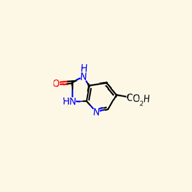 O=C(O)c1cnc2[nH]c(=O)[nH]c2c1